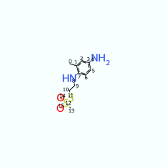 Cc1cc(N)ccc1NCCSS(C)(=O)=O